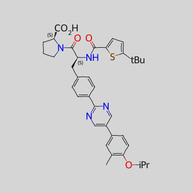 Cc1cc(-c2cnc(-c3ccc(C[C@H](NC(=O)c4ccc(C(C)(C)C)s4)C(=O)N4CCC[C@H]4C(=O)O)cc3)nc2)ccc1OC(C)C